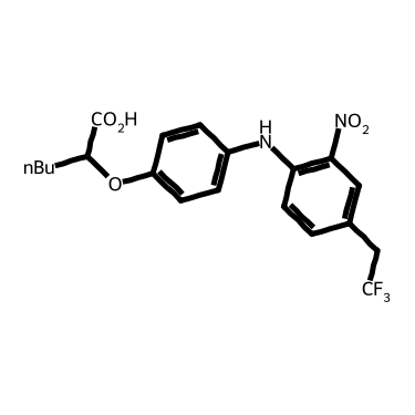 CCCCC(Oc1ccc(Nc2ccc(CC(F)(F)F)cc2[N+](=O)[O-])cc1)C(=O)O